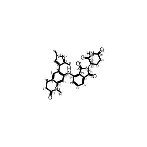 Cc1nn(C)cc1-c1cc2c(cc1Nc1cccc3c1C(=O)N([C@H]1CCC(=O)NC1=O)C3=O)N(C)C(=O)CC2